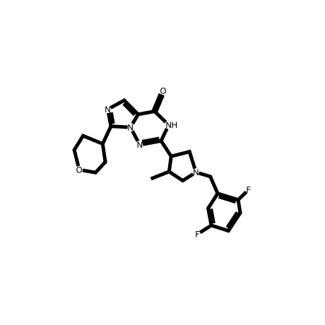 CC1CN(Cc2cc(F)ccc2F)CC1c1nn2c(C3CCOCC3)ncc2c(=O)[nH]1